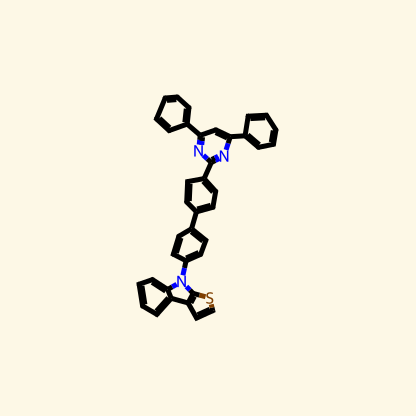 c1ccc(-c2cc(-c3ccccc3)nc(-c3ccc(-c4ccc(-n5c6ccccc6c6ccsc65)cc4)cc3)n2)cc1